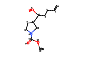 C=CCCC(O)C1CCN(C(=O)OC(C)(C)C)C1